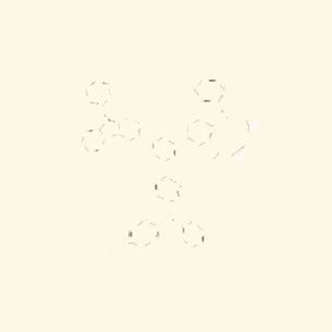 C=C1/C=C\C=C/CN(c2ccccc2)c2ccc(-c3cc(-c4ccc5c(c4)c4ccccc4n5-c4ccccc4)cc(-c4ccc(N(c5ccc(F)cc5)c5ccc(F)cc5)cn4)c3)cc21